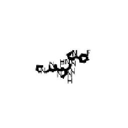 Fc1cccc(-c2nccc3[nH]c(-c4n[nH]c5cnc(-c6cncc(CN7CCCC7)c6)c(F)c45)nc23)c1